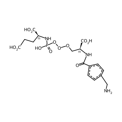 NCc1ccc(C(=O)N[C@@H](COOOP(=O)(O)N[C@@H](CCC(=O)O)C(=O)O)C(=O)O)cc1